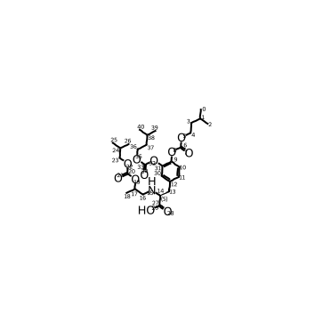 CC(C)CCOC(=O)Oc1ccc(C[C@H](NCC(C)OC(=O)OCC(C)C)C(=O)O)cc1OC(=O)OCCC(C)C